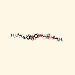 CCCC=C=C=Cc1ccc(OC(=O)c2ccc(OCCCCCC(=O)OCCOCCC)cc2)cc1